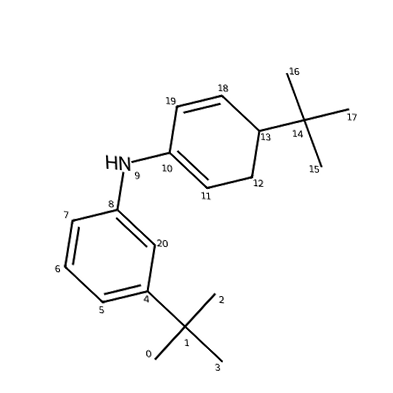 CC(C)(C)c1cccc(NC2=CCC(C(C)(C)C)C=C2)c1